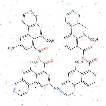 O=C(O)c1cc2cnccc2c2cc([N+](=O)[O-])cc(C(=O)OC(=O)c3cc([N+](=O)[O-])cc4c3c(C(=O)O)cc3cnccc34)c12.O=C(O)c1cc2cnccc2c2cccc(C(=O)OC(=O)c3cccc4c3c(C(=O)O)cc3cnccc34)c12